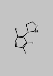 Fc1ccc(F)c([C@H]2CCON2)c1F